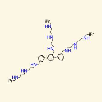 CC(C)CNCCCNCCCNCc1cccc(-c2ccc(-c3cccc(CNCCCNCCCNCC(C)C)c3)c(CNCCCNCCCNCC(C)C)c2)c1